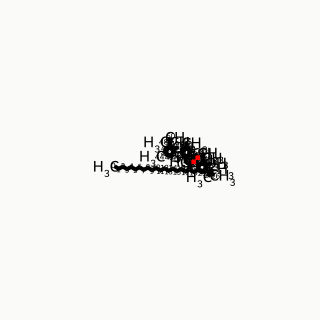 CCCCCCCCCCCCCCCCCCC(Cc1cc(C(C)(C)C)c(O)c(C(C)(C)C)c1)C(=O)Oc1c(Sc2cc(C)cc(C(C)(C)C)c2O)cc(C)cc1C(C)(C)C